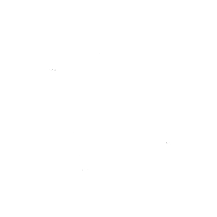 CCCCCc1cc(OCOCCOC)c(CC=C(C)CCC=C(C)C)c(OCOCCOC)c1